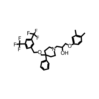 Cc1ccc(OCC(O)CN2CCC(COCc3cc(C(F)(F)F)cc(C(F)(F)F)c3)(c3ccccc3)CC2)cc1C